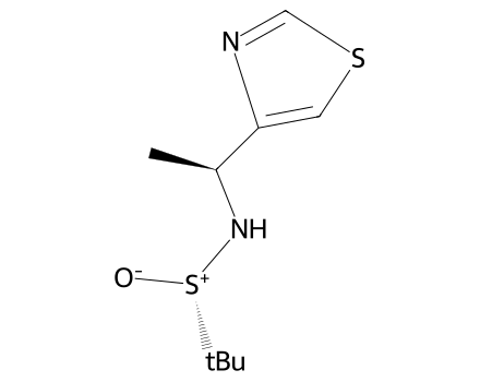 C[C@H](N[S@@+]([O-])C(C)(C)C)c1cscn1